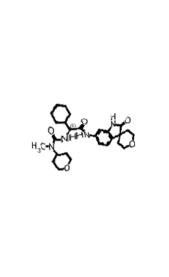 CN(C(=O)N[C@H](C(=O)Nc1ccc2c(c1)NC(=O)C21CCOCC1)C1CCCCC1)C1CCOCC1